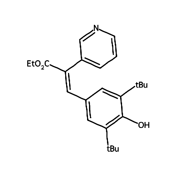 CCOC(=O)/C(=C/c1cc(C(C)(C)C)c(O)c(C(C)(C)C)c1)c1cccnc1